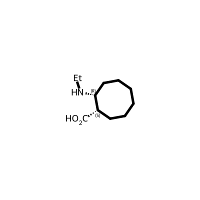 CCN[C@@H]1CCCCCC[C@@H]1C(=O)O